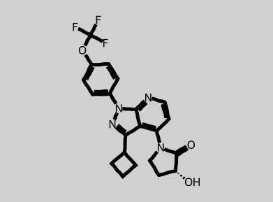 O=C1[C@H](O)CCN1c1ccnc2c1c(C1CCC1)nn2-c1ccc(OC(F)(F)F)cc1